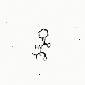 CC(C)[C@@H](C=O)NC(=O)N1CCCCC1